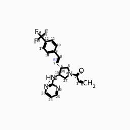 C=CC(=O)N1C[C@@H](/C=C/c2ccc(C(F)(F)F)cc2)[C@H](Nc2ncccn2)C1